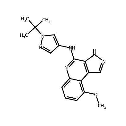 COc1cccc2nc(Nc3cnn(C(C)(C)C)c3)c3[nH]ncc3c12